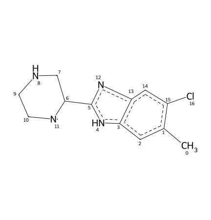 Cc1cc2[nH]c(C3CNCC[N]3)nc2cc1Cl